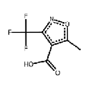 Cc1onc(C(F)(F)F)c1C(=O)O